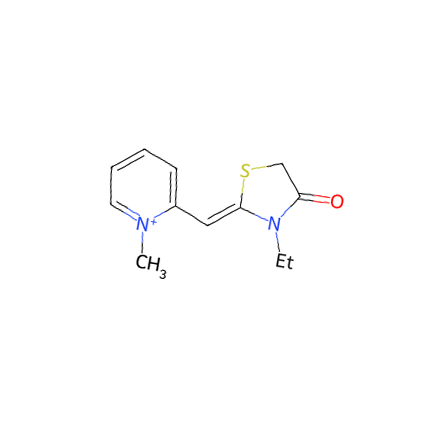 CCN1C(=O)CS/C1=C\c1cccc[n+]1C